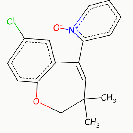 CC1(C)C=C(c2cccc[n+]2[O-])c2cc(Cl)ccc2OC1